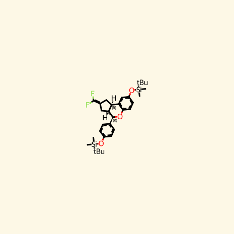 CC(C)(C)[Si](C)(C)Oc1ccc([C@@H]2Oc3ccc(O[Si](C)(C)C(C)(C)C)cc3[C@@H]3CC(=C(F)F)C[C@@H]32)cc1